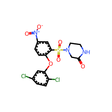 O=C1CN(S(=O)(=O)c2cc([N+](=O)[O-])ccc2Oc2cc(Cl)ccc2Cl)CCN1